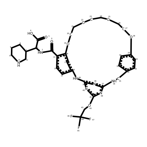 O=C(NC(C(=O)O)C1CCCNC1)c1ccc2cc1OCCOCCOCCOc1ccc(cc1)CNc1nc(nc(OCC(F)(F)F)n1)N2